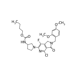 CCCCOC(=O)NC1CCN(c2nc(Cl)c3c(c2F)CN(Cc2ccc(OC)cc2OC)C3=O)C1